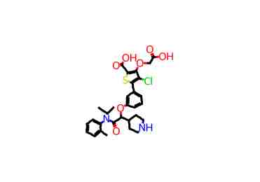 Cc1ccccc1N(C(=O)C(Oc1cccc(-c2sc(C(=O)O)c(OCC(=O)O)c2Cl)c1)C1CCNCC1)C(C)C